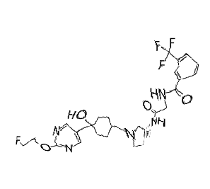 O=C(CNC(=O)c1cccc(C(F)(F)F)c1)N[C@@H]1CCN(C2CCC(O)(c3cnc(OCCF)nc3)CC2)C1